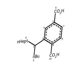 CCCCCCCC(CCCC)c1cc(C(=O)O)ccc1C(=O)O